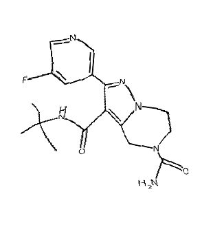 CC(C)(C)NC(=O)c1c(-c2cncc(F)c2)nn2c1CN(C(N)=O)CC2